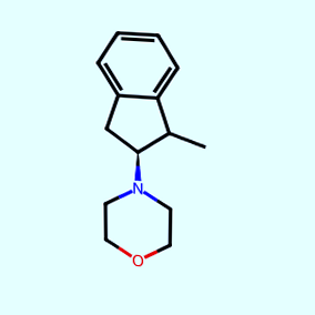 CC1c2ccccc2C[C@@H]1N1CCOCC1